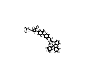 CC(=O)NC[C@H]1CN(c2ccc(-c3ccc(Cc4cn(C(c5ccccc5)(c5ccccc5)c5ccccc5)cn4)cc3)c(F)c2)C(=O)O1